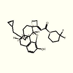 O=C(/C=C1\CC[C@]12CC[C@@]1(O)[C@H]3Cc4ccc(O)c5c4[C@@]1(CCN3CC1CC1)[C@H]2O5)N1CCCC(F)(F)C1